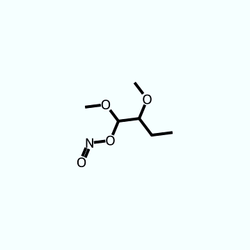 CCC(OC)C(OC)ON=O